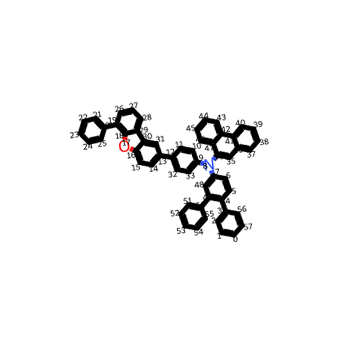 c1ccc(-c2ccc(N(c3ccc(-c4ccc5oc6c(-c7ccccc7)cccc6c5c4)cc3)c3cc4ccccc4c4ccccc34)cc2-c2ccccc2)cc1